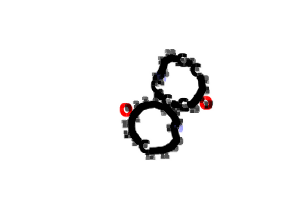 O=C1CCCCC/C=C/CCCCCCCC1.O=C1CCCCCC/C=C/CCCCCCC1